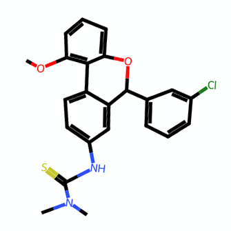 COc1cccc2c1-c1ccc(NC(=S)N(C)C)cc1C(c1cccc(Cl)c1)O2